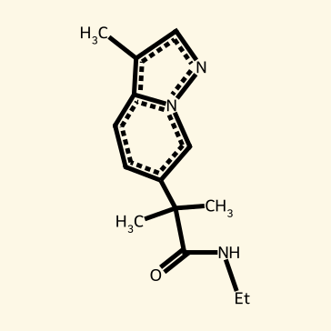 CCNC(=O)C(C)(C)c1ccc2c(C)cnn2c1